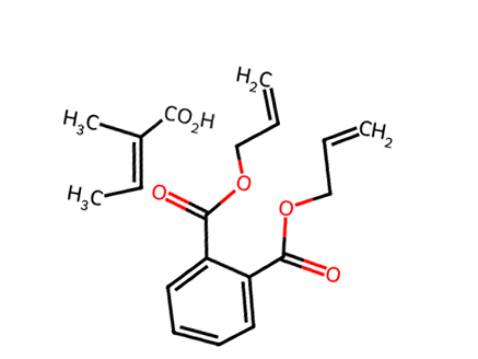 C=CCOC(=O)c1ccccc1C(=O)OCC=C.CC=C(C)C(=O)O